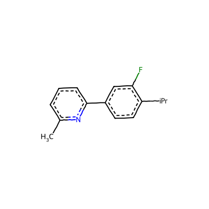 Cc1cccc(-c2ccc(C(C)C)c(F)c2)n1